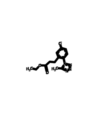 CCOC(=O)CCc1cc(Cl)ccc1-n1nnnc1C